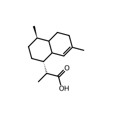 CC1=CC2C(CC1)[C@H](C)CC[C@H]2C(C)C(=O)O